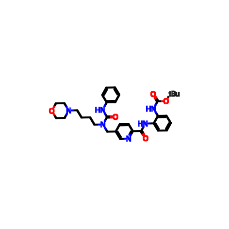 CC(C)(C)OC(=O)Nc1ccccc1NC(=O)c1ccc(CN(CCCCN2CCOCC2)C(=O)Nc2ccccc2)cn1